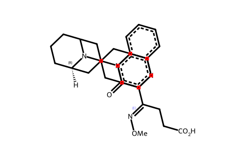 CO/N=C(\CCC(=O)O)c1nc2ccccc2n(C2CC3CCC[C@H](C2)N3C2CC3CCCC(C3)C2)c1=O